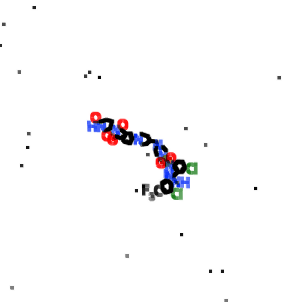 O=C1CCC(N2C(=O)c3ccc(N4CCC(CN5CCN(S(=O)(=O)Nc6ccc(Cl)cc6-c6nc7cc(C(F)(F)F)cc(Cl)c7[nH]6)CC5)CC4)cc3C2=O)C(=O)N1